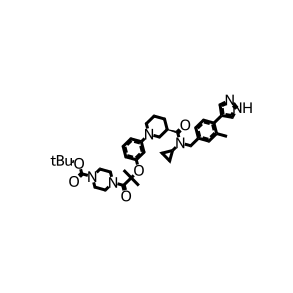 Cc1cc(CN(C(=O)[C@@H]2CCCN(c3cccc(OC(C)(C)C(=O)N4CCN(C(=O)OC(C)(C)C)CC4)c3)C2)C2CC2)ccc1-c1cn[nH]c1